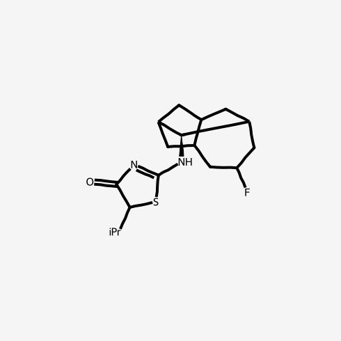 CC(C)C1SC(N[C@@H]2C3CC(F)CC4CC2CC4C3)=NC1=O